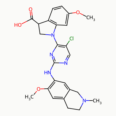 COc1ccc2c(c1)N(c1nc(Nc3cc4c(cc3OC)CCN(C)C4)ncc1Cl)CC2C(=O)O